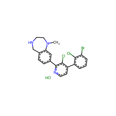 CN1CCNCc2ccc(-c3nccc(-c4cccc(Br)c4Cl)c3Cl)cc21.Cl